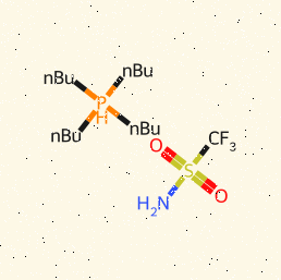 CCCC[PH](CCCC)(CCCC)CCCC.NS(=O)(=O)C(F)(F)F